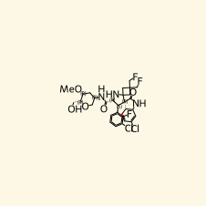 CO[C@@H]1C[C@@H](NC(=O)[C@@H]2NC3(CC(CF)(CF)C3)[C@@]3(C(=O)NC4C=C(Cl)C=CC43)[C@H]2c2cccc(Cl)c2F)CO[C@@H]1CO